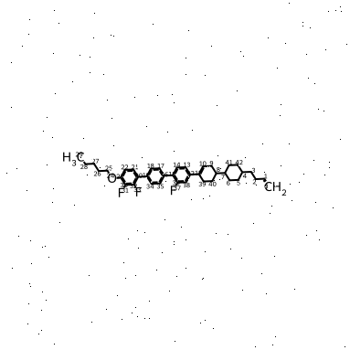 C=CCCC1CCC(C2CC=C(c3ccc(-c4ccc(-c5ccc(OCCCCC)c(F)c5F)cc4)c(F)c3)CC2)CC1